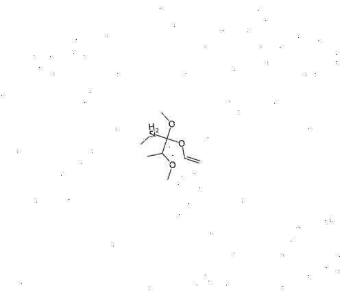 C=COC(OC)([SiH2]C)C(C)OC